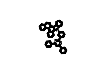 c1ccc(-c2cc(-c3ccccc3)nc(-c3cccc(-n4c5ccccc5c5c6ccc7ccccc7c6c6ccccc6c54)c3)n2)cc1